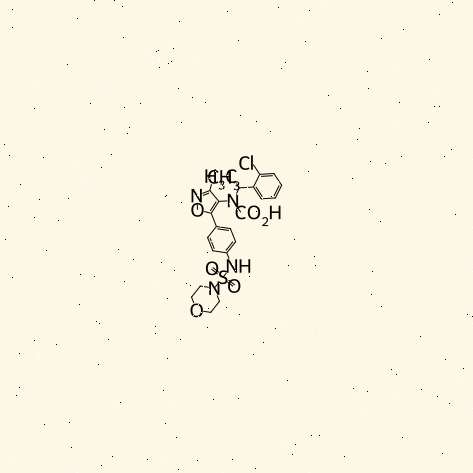 Cc1noc(-c2ccc(NS(=O)(=O)N3CCOCC3)cc2)c1N(C(=O)O)C(C)c1ccccc1Cl